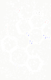 CC(=O)Oc1c2n(ccc1=O)N(C1c3cc(F)ccc3CSc3ccccc31)CNC2=O